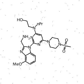 CCCN(CCO)c1cc(N2CCN(S(C)(=O)=O)CC2)nc(-n2c(CN)nc3c(OC)cccc32)n1